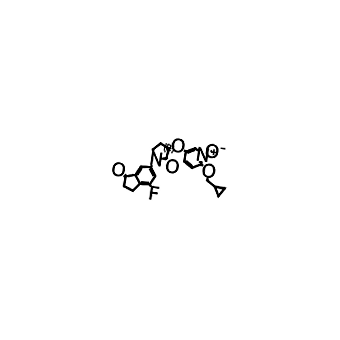 O=C1CCc2c(F)cc(N3CC[C@@H](Oc4ccc(OCC5CC5)[n+]([O-])c4)C3=O)cc21